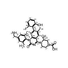 Cc1cc(CN)cc(C)c1-n1c(=O)nc(N2CCN(C(=O)O)C[C@@H]2C)c2cc(F)c(-c3c(O)cccc3F)nc21